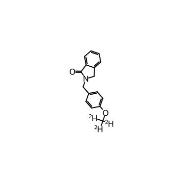 [2H]C([2H])([2H])Oc1ccc(CN2Cc3ccccc3C2=O)cc1